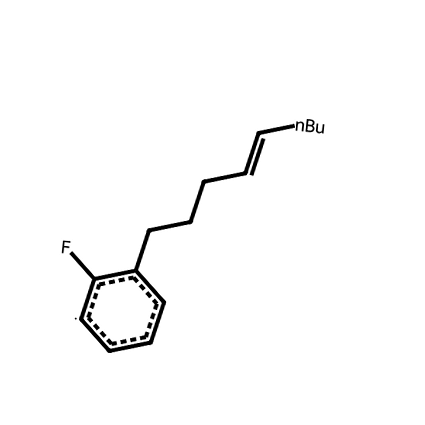 CCCCC=CCCCc1ccc[c]c1F